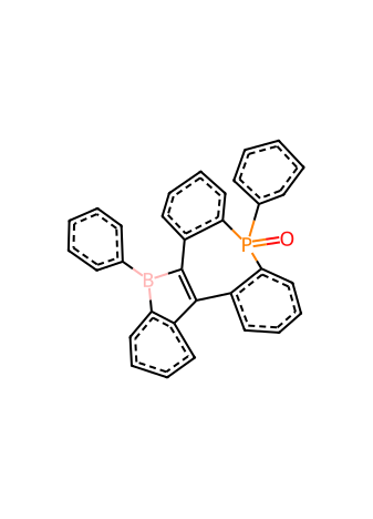 O=P1(c2ccccc2)c2ccccc2C2=C(c3ccccc3B2c2ccccc2)c2ccccc21